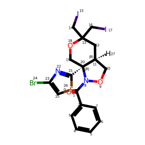 O=C(c1ccccc1)N1OC[C@@H]2CC(CI)(CI)OC[C@@]21c1nc(Br)cs1